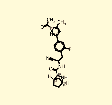 CC(=O)n1nc(-c2ccc(CC(C#N)NC(=O)[C@H]3N[C@@H]4CC[C@H]3C4)c(F)c2)cc1C